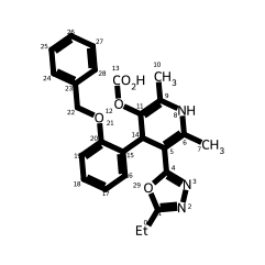 CCc1nnc(C2=C(C)NC(C)=C(OC(=O)O)C2c2ccccc2OCc2ccccc2)o1